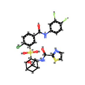 O=C(Nc1ccc(F)c(F)c1)c1ccc(Cl)c(S(=O)(=O)C2CC3CC(C2)C3(O)CNC(=O)c2nccs2)c1